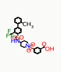 Cc1ccccc1-c1ccc(S(=O)(=O)NC2CCN(S(=O)(=O)c3cccc(C(=O)O)c3)CC2)c(C(F)(F)F)c1